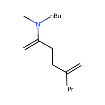 C=C(CCC(=C)N(C)CCCC)C(C)C